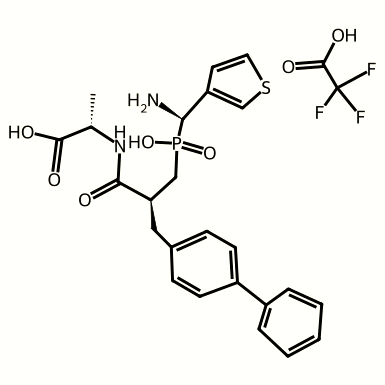 C[C@H](NC(=O)[C@H](Cc1ccc(-c2ccccc2)cc1)CP(=O)(O)[C@@H](N)c1ccsc1)C(=O)O.O=C(O)C(F)(F)F